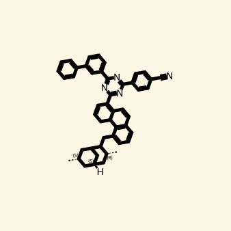 C[C@@H]1CC2C[C@@H](C1)C[C@@H](C)C2Cc1cccc2c1C1CC=CC(c3nc(-c4ccc(C#N)cc4)nc(-c4cccc(-c5ccccc5)c4)n3)=C1C=C2